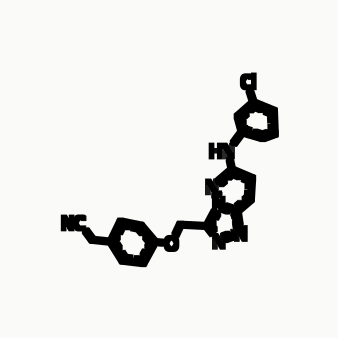 N#CCc1ccc(OCc2nnc3ccc(Nc4cccc(Cl)c4)nn23)cc1